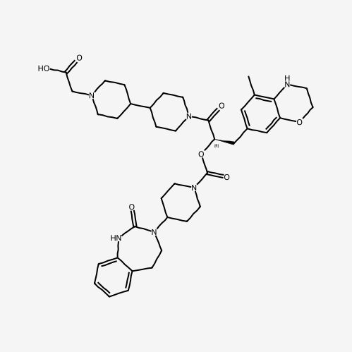 Cc1cc(C[C@@H](OC(=O)N2CCC(N3CCc4ccccc4NC3=O)CC2)C(=O)N2CCC(C3CCN(CC(=O)O)CC3)CC2)cc2c1NCCO2